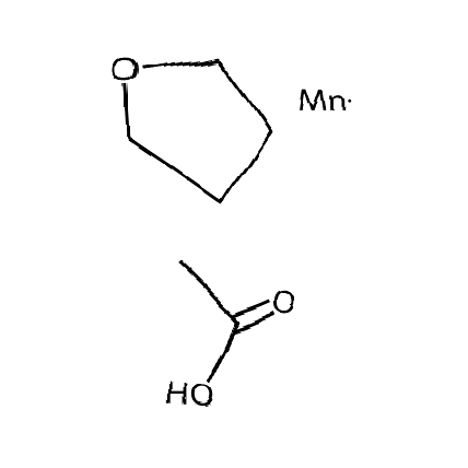 C1CCOC1.CC(=O)O.[Mn]